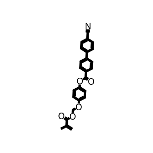 C=C(C)C(=O)OCOc1ccc(OC(=O)c2ccc(-c3ccc(C#N)cc3)cc2)cc1